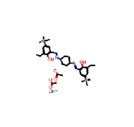 CC(=O)[O-].CC(=O)[O-].CCc1cc([Si](C)(C)C)cc(C=NC2CCC(N=Cc3cc([Si](C)(C)C)cc(CC)c3O)CC2)c1O.[Co+2]